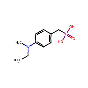 CN(CC(=O)O)c1ccc(CP(=O)(O)O)cc1